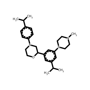 CC(C)c1ccc(N2CCOC(c3cc(C(C)C)cc(N4CCN(C)CC4)c3)C2)cc1